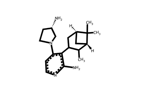 CC1C(c2c(N3CC[C@H](N)C3)ccnc2N)C[C@@H]2C[C@@H]1C2(C)C